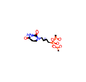 C=P(=O)OP(=O)(C/C=C/Cn1ccc(=O)[nH]c1=O)OP(=C)=O